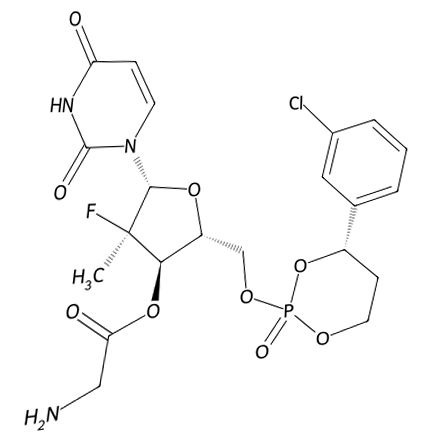 C[C@@]1(F)[C@H](OC(=O)CN)[C@@H](COP2(=O)OCC[C@@H](c3cccc(Cl)c3)O2)O[C@H]1n1ccc(=O)[nH]c1=O